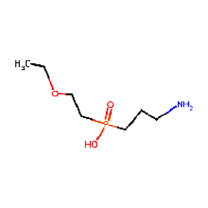 CCOCCP(=O)(O)CCCN